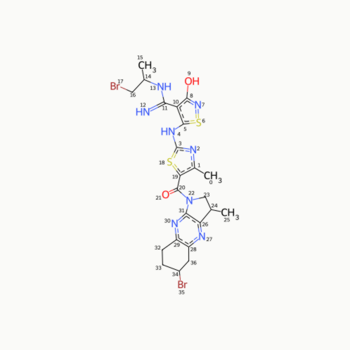 Cc1nc(Nc2snc(O)c2C(=N)NC(C)CBr)sc1C(=O)N1CC(C)c2nc3c(nc21)CCC(Br)C3